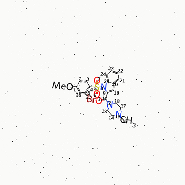 COc1ccc(S(=O)(=O)n2c(C(=O)N3CCN(C)CC3)cc3ccccc32)c(Br)c1